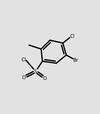 Cc1cc(Cl)c(Br)cc1S(=O)(=O)Cl